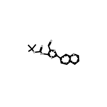 CC(C)(C)OC(=O)Nc1sc(-c2ccc3cccnc3c2)nc1C=O